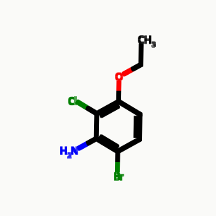 CCOc1ccc(Br)c(N)c1Cl